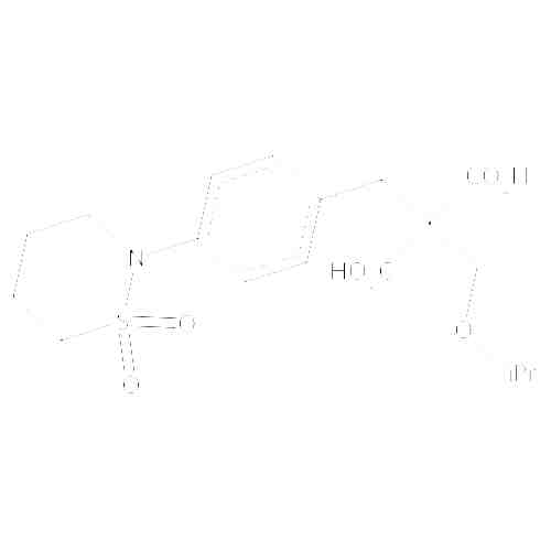 CC(C)OCC(Cc1ccc(N2CCCCS2(=O)=O)cc1)(C(=O)O)C(=O)O